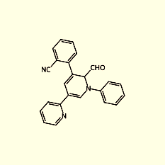 N#Cc1ccccc1C1=CC(c2ccccn2)=CN(c2ccccc2)C1C=O